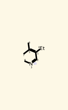 CCC(/C=N\C)=C(C)C